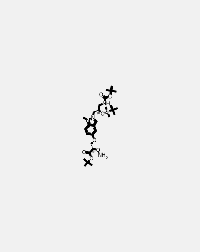 C[n+]1c2ccc(OC[C@H](ON)C(=O)OC(C)(C)C)cc2cn1C[C@@H](CNC(=O)OC(C)(C)C)O[Si](C)(C)C(C)(C)C